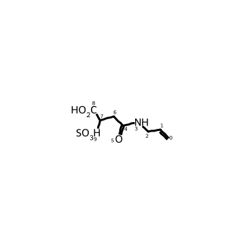 C=CCNC(=O)CC(C(=O)O)S(=O)(=O)O